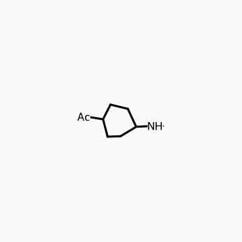 CC(=O)C1CCC([NH])CC1